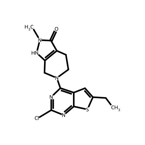 CCc1cc2c(N3CCc4c([nH]n(C)c4=O)C3)nc(Cl)nc2s1